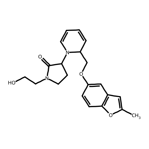 Cc1cc2cc(OCC3C=CC=CN3C3CCN(CCO)C3=O)ccc2o1